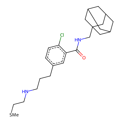 CSCCNCCCc1ccc(Cl)c(C(=O)NCC23CC4CC(CC(C4)C2)C3)c1